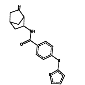 O=C(NC1CC2CNC1C2)c1ccc(Sc2cccs2)cc1